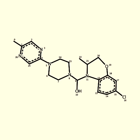 Cc1cnc(N2CCN(C(O)N3c4ccc(Cl)cc4OCC3C)CC2)cn1